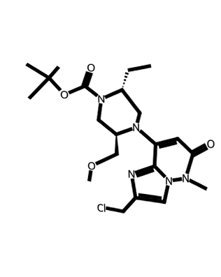 CC[C@@H]1CN(c2cc(=O)n(C)n3cc(CCl)nc23)[C@@H](COC)CN1C(=O)OC(C)(C)C